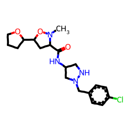 CN1OC(C2CCCO2)CC1C(=O)NC1CNN(Cc2ccc(Cl)cc2)C1